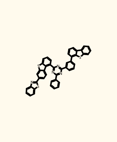 c1ccc(-c2nc(-c3cccc(-c4cccc5c4sc4ccccc45)c3)nc(-c3cccc4sc5cc(-c6nc7ccccc7s6)ccc5c34)n2)cc1